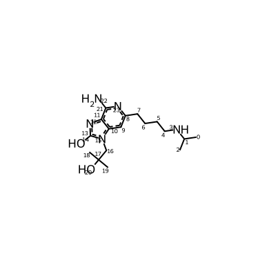 CC(C)NCCCCc1cc2c(nc(O)n2CC(C)(C)O)c(N)n1